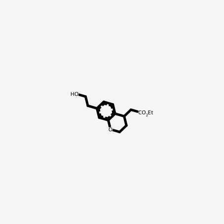 CCOC(=O)CC1CCOc2cc(CCO)ccc21